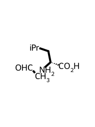 CC(C)C[C@@H](N)C(=O)O.CC=O